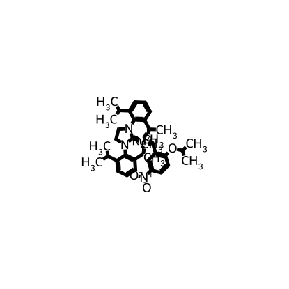 CC(C)Oc1ccc([N+](=O)[O-])cc1[CH]=[Ru-4]([I])([I])=[C]1N(c2c(C(C)C)cccc2C(C)C)CCN1c1c(C(C)C)cccc1C(C)C